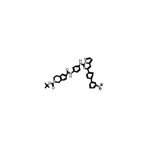 CC(C)(C)OC(=O)N1CCc2cc(C(=O)Nc3ccc(Nc4nc(-c5ccc(-c6cccc([N+](=O)[O-])c6)cc5)cc5ccnn45)cc3)ccc2C1